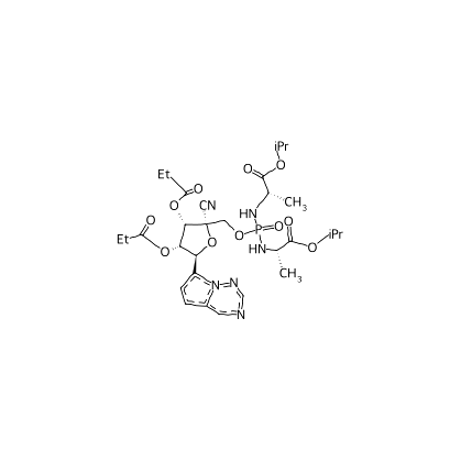 CCC(=O)O[C@H]1[C@H](c2ccc3cncnn23)O[C@](C#N)(COP(=O)(N[C@@H](C)C(=O)OC(C)C)N[C@@H](C)C(=O)OC(C)C)[C@H]1OC(=O)CC